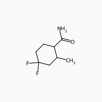 CC1CC(F)(F)CCC1C(N)=O